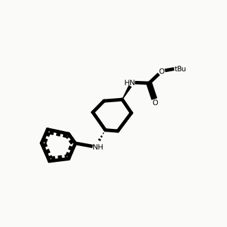 CC(C)(C)OC(=O)N[C@H]1CC[C@H](Nc2ccccc2)CC1